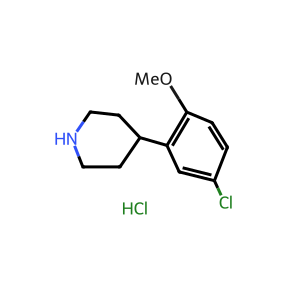 COc1ccc(Cl)cc1C1CCNCC1.Cl